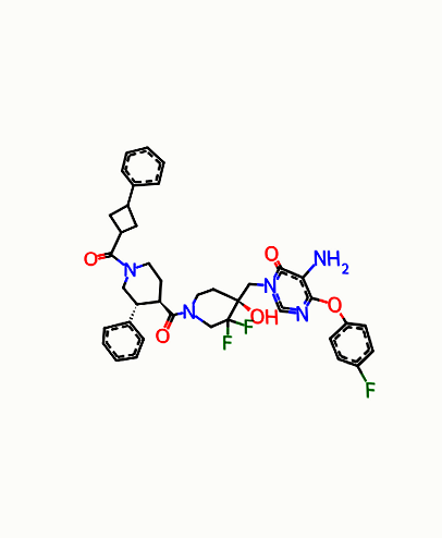 Nc1c(Oc2ccc(F)cc2)ncn(C[C@@]2(O)CCN(C(=O)[C@@H]3CCN(C(=O)C4CC(c5ccccc5)C4)C[C@H]3c3ccccc3)CC2(F)F)c1=O